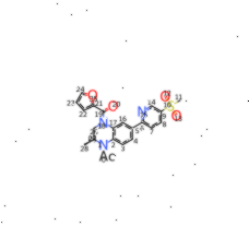 CC(=O)N1c2ccc(-c3ccc(S(C)(=O)=O)cn3)cc2N(C(=O)c2ccco2)C[C@@H]1C